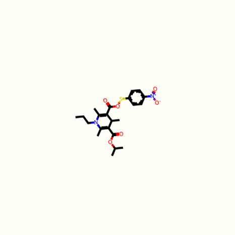 CCCN1C(C)=C(C(=O)OSc2ccc([N+](=O)[O-])cc2)C(C)C(C(=O)OC(C)C)=C1C